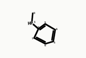 CPc1ccccc1